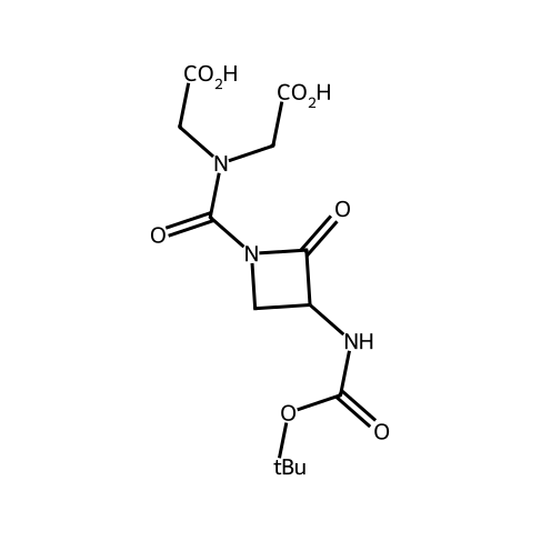 CC(C)(C)OC(=O)NC1CN(C(=O)N(CC(=O)O)CC(=O)O)C1=O